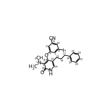 CN(C)c1c(Oc2cc(I)cc(C#N)c2)c(CCCc2ccccc2)c[nH]c1=O